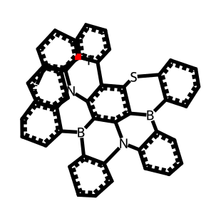 Fc1cccc(F)c1N1c2ccccc2B2c3ccccc3N3c4ccccc4B4c5ccccc5Sc5c4c3c2c1c5-c1ccccc1-c1ccccc1